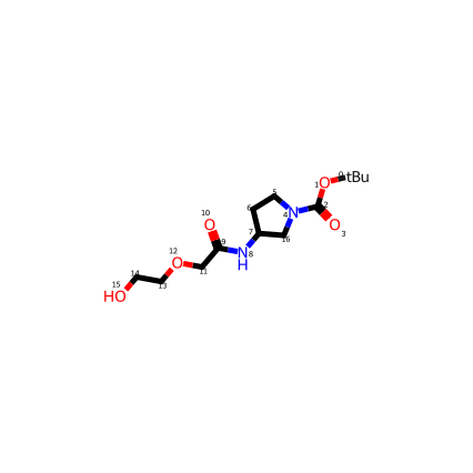 CC(C)(C)OC(=O)N1CCC(NC(=O)COCCO)C1